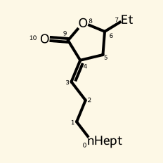 CCCCCCCCC/C=C1\CC(CC)OC1=O